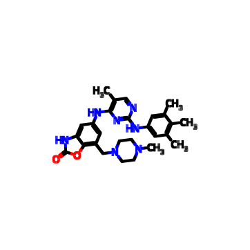 Cc1cnc(Nc2cc(C)c(C)c(C)c2)nc1Nc1cc(CN2CCN(C)CC2)c2oc(=O)[nH]c2c1